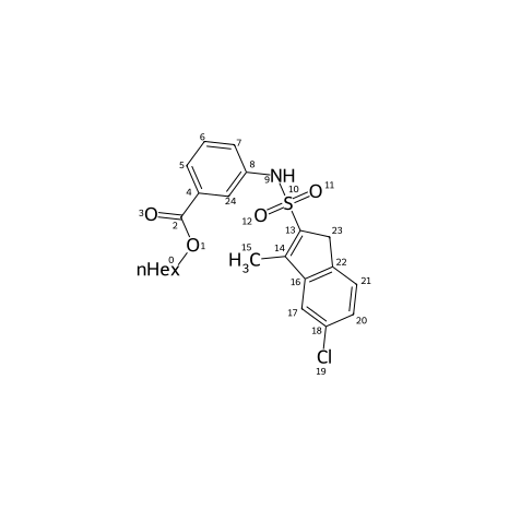 CCCCCCOC(=O)c1cccc(NS(=O)(=O)C2=C(C)c3cc(Cl)ccc3C2)c1